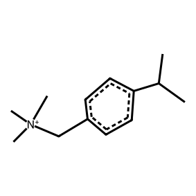 CC(C)c1ccc(C[N+](C)(C)C)cc1